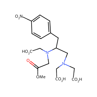 COC(=O)CN(CC(=O)O)C(Cc1ccc([N+](=O)[O-])cc1)CN(CC(=O)O)CC(=O)O